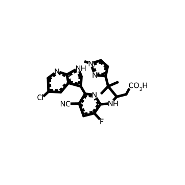 Cn1ccc(C(C)(C)C(CC(=O)O)Nc2nc(-c3c[nH]c4ncc(Cl)cc34)c(C#N)cc2F)n1